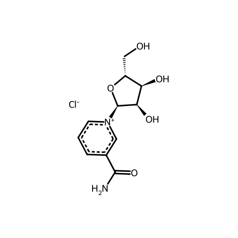 NC(=O)c1ccc[n+]([C@H]2O[C@H](CO)[C@@H](O)[C@H]2O)c1.[Cl-]